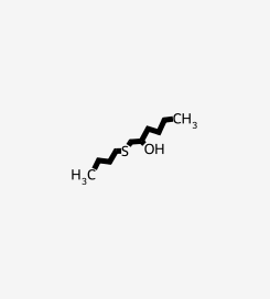 CCCCSCC(O)CCCC